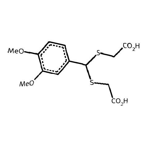 COc1ccc(C(SCC(=O)O)SCC(=O)O)cc1OC